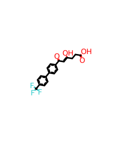 O=C(O)CCC(O)=CC(=O)c1ccc(-c2ccc(C(F)(F)F)cc2)cc1